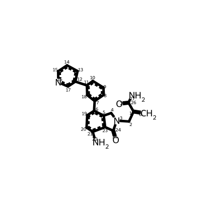 C=C(CN1Cc2c(-c3cccc(-c4cccnc4)c3)ccc(N)c2C1=O)C(N)=O